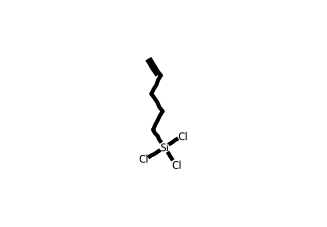 C=CCCC[Si](Cl)(Cl)Cl